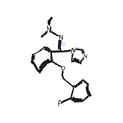 CN(C)/N=C(\c1ccccc1OCc1ccccc1F)n1ccnc1